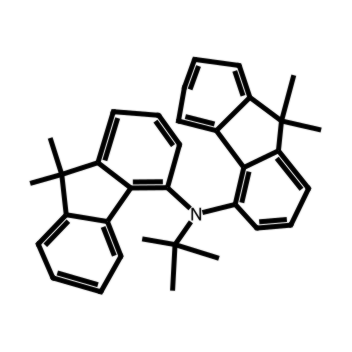 CC1(C)c2ccccc2-c2c(N(c3cccc4c3-c3ccccc3C4(C)C)C(C)(C)C)cccc21